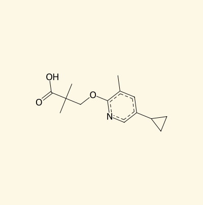 Cc1cc(C2CC2)cnc1OCC(C)(C)C(=O)O